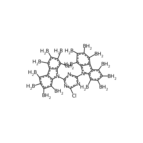 Bc1c(B)c(B)c2c(c1B)c1c(B)c(B)c(B)c(B)c1n2-c1nc(Cl)nc(-n2c3c(B)c(B)c(B)c(B)c3c3c(B)c(B)c(B)c(B)c32)n1